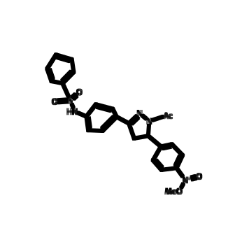 CO[N+](=O)c1ccc(C2CC(c3ccc(NS(=O)(=O)c4ccccc4)cc3)=NN2C(C)=O)cc1